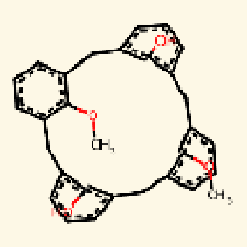 COc1c2cccc1Cc1cccc(c1O)Cc1cccc(c1OC)Cc1cccc(c1O)C2